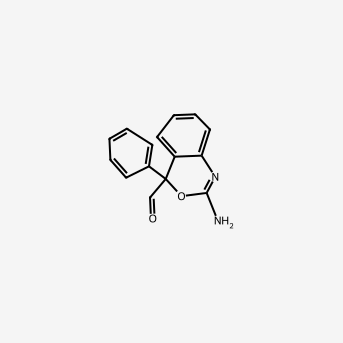 NC1=Nc2ccccc2C(C=O)(c2ccccc2)O1